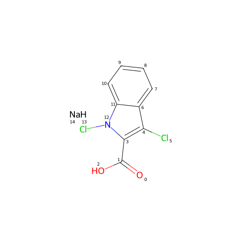 O=C(O)c1c(Cl)c2ccccc2n1Cl.[NaH]